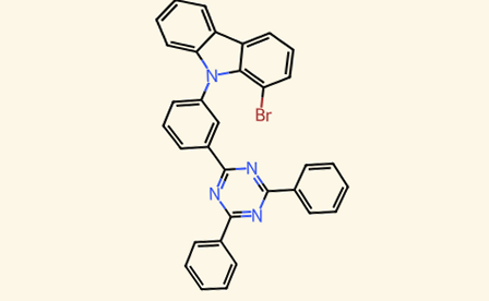 Brc1cccc2c3ccccc3n(-c3cccc(-c4nc(-c5ccccc5)nc(-c5ccccc5)n4)c3)c12